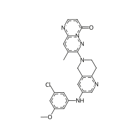 COc1cc(Cl)cc(Nc2cnc3c(c2)CN(c2nn4c(=O)ccnc4cc2C)CC3)c1